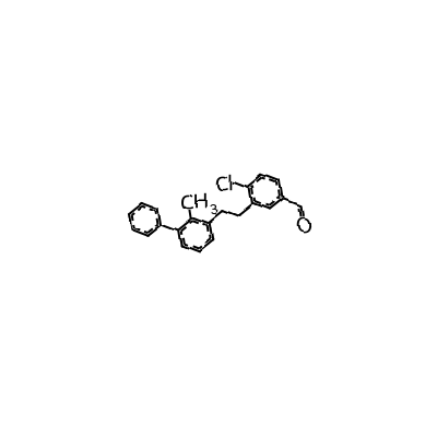 Cc1c(CCc2cc(C=O)ccc2Cl)cccc1-c1ccccc1